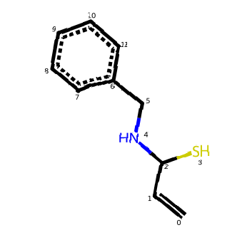 C=CC(S)NCc1ccccc1